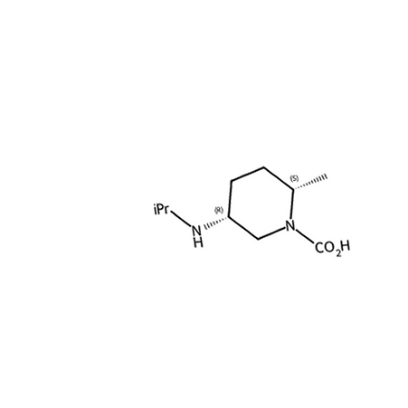 CC(C)N[C@@H]1CC[C@H](C)N(C(=O)O)C1